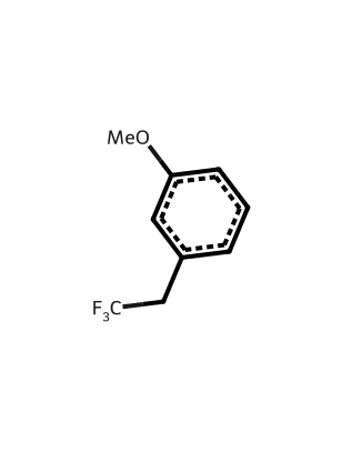 COc1cccc(CC(F)(F)F)c1